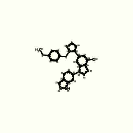 CCc1ccc(Cn2nccc2-c2cc(Cl)c3nnn(-c4ccc5cn[nH]c5c4)c3c2)cc1